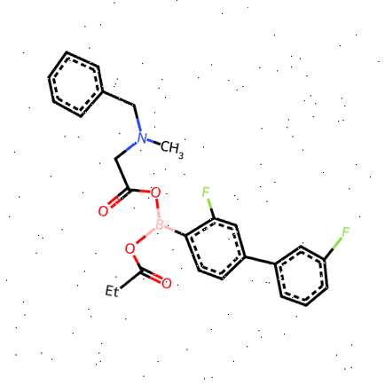 CCC(=O)OB(OC(=O)CN(C)Cc1ccccc1)c1ccc(-c2cccc(F)c2)cc1F